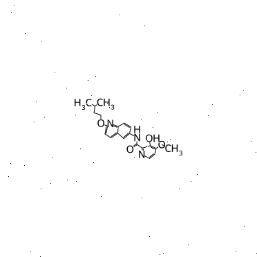 COc1ccnc(C(=O)Nc2ccc3nc(OCCC(C)C)ccc3c2)c1O